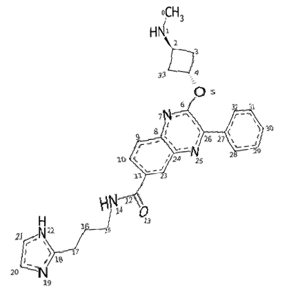 CN[C@H]1C[C@H](Oc2nc3ccc(C(=O)NCCCc4ncc[nH]4)cc3nc2-c2ccccc2)C1